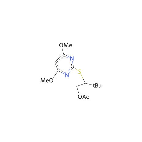 COc1cc(OC)nc(SC(COC(C)=O)C(C)(C)C)n1